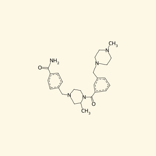 CC1CN(Cc2ccc(C(N)=O)cc2)CCN1C(=O)c1cccc(CN2CCN(C)CC2)c1